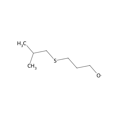 CC(C)CSCCC[O]